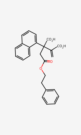 C=C(C(=O)O)C(CC(=O)OCCc1ccccc1)(C(=O)O)c1cccc2ccccc12